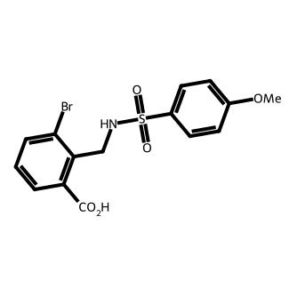 COc1ccc(S(=O)(=O)NCc2c(Br)cccc2C(=O)O)cc1